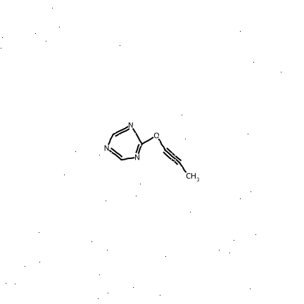 CC#COc1ncncn1